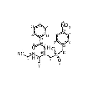 N#CCNC(=O)[C@H](CS(=O)(=O)Cc1ccc([N+](=O)[O-])cc1)NC(=O)c1ccccc1